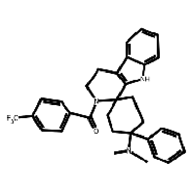 CN(C)C1(c2ccccc2)CCC2(CC1)c1[nH]c3ccccc3c1CCN2C(=O)c1ccc(C(F)(F)F)cc1